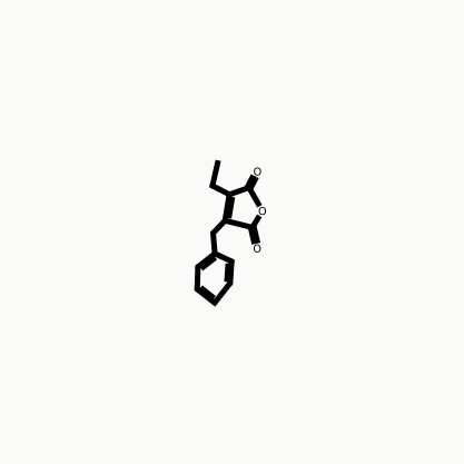 CCC1=C(Cc2ccccc2)C(=O)OC1=O